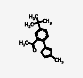 CC(=O)c1cc(C(C)(C)C)ccc1C1=CC(C)=CC1